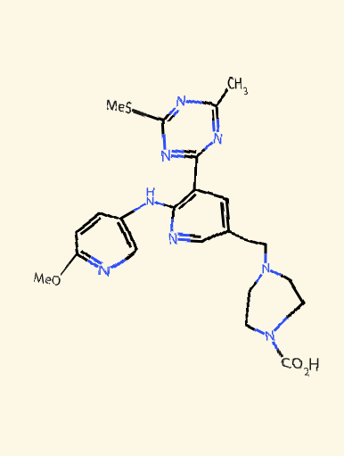 COc1ccc(Nc2ncc(CN3CCN(C(=O)O)CC3)cc2-c2nc(C)nc(SC)n2)cn1